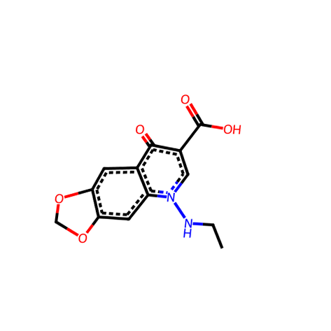 CCNn1cc(C(=O)O)c(=O)c2cc3c(cc21)OCO3